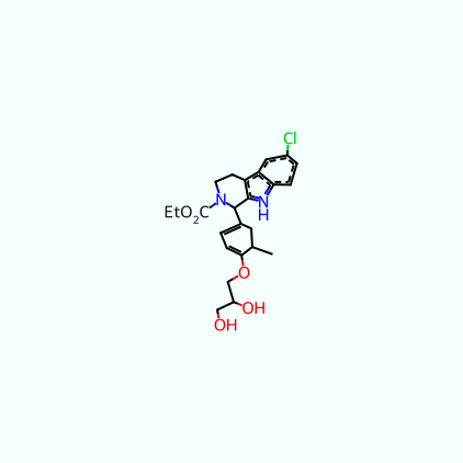 CCOC(=O)N1CCc2c([nH]c3ccc(Cl)cc23)C1C1=CC=C(OCC(O)CO)C(C)C1